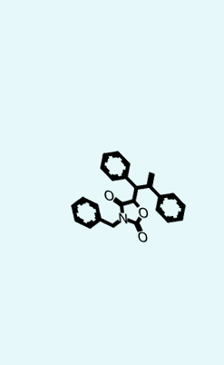 C=C(c1ccccc1)C(c1ccccc1)C1OC(=O)N(Cc2ccccc2)C1=O